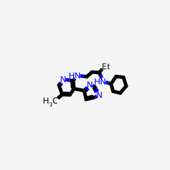 CCC(CCNc1ncc(C)cc1-c1ccncn1)NC1CCCCC1